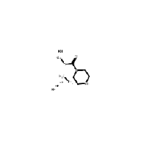 BC.CC(C)(C)OC(=O)N1CCNCC1.F.F.F.[KH]